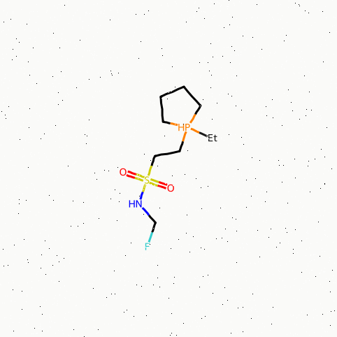 CC[PH]1(CCS(=O)(=O)NCF)CCCC1